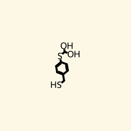 OC(O)Sc1ccc(CS)cc1